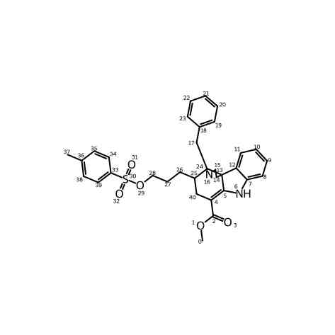 COC(=O)C1=C2Nc3ccccc3C23CCN(Cc2ccccc2)C3C(CCCOS(=O)(=O)c2ccc(C)cc2)C1